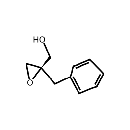 OC[C@]1(Cc2ccccc2)CO1